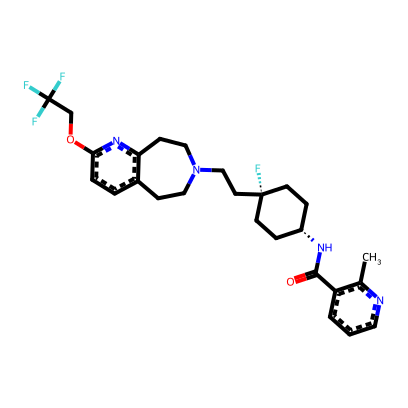 Cc1ncccc1C(=O)N[C@H]1CC[C@](F)(CCN2CCc3ccc(OCC(F)(F)F)nc3CC2)CC1